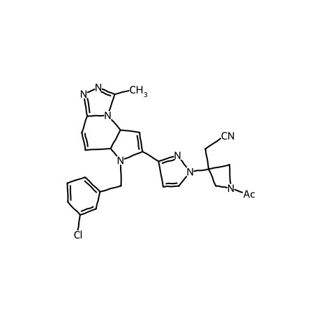 CC(=O)N1CC(CC#N)(n2ccc(C3=CC4C(C=Cc5nnc(C)n54)N3Cc3cccc(Cl)c3)n2)C1